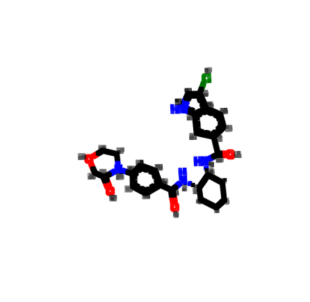 O=C(N[C@H]1CCCC[C@H]1NC(=O)c1ccc2c(Cl)c[nH]c2c1)c1ccc(N2CCOCC2=O)cc1